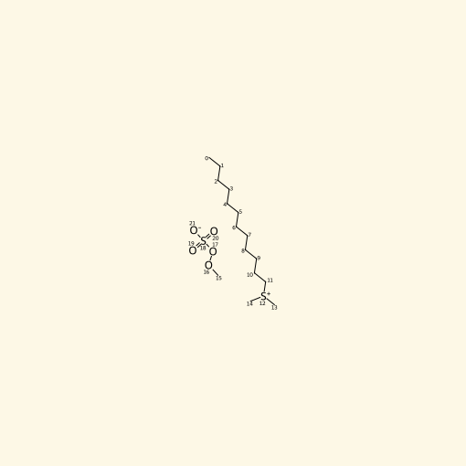 CCCCCCCCCCCC[S+](C)C.COOS(=O)(=O)[O-]